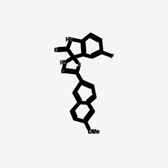 COc1ccc2cc(C3=NNC4(S3)C(=O)Nc3ccc(F)cc34)ccc2c1